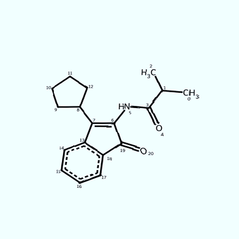 CC(C)C(=O)NC1=C(C2CCCC2)c2ccccc2C1=O